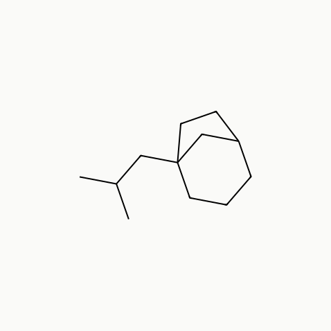 CC(C)CC12CCCC(CC1)C2